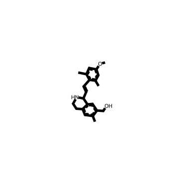 COc1cc(C)c(/C=C/C2NCCc3cc(C)c(CO)cc32)c(C)c1